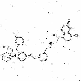 O=C(O)N(C(c1cccc(F)c1)c1cccc(OCc2cccc(CCNC[C@H](O)c3ccc(O)c4[nH]c(=O)ccc34)c2)c1)[C@H]1CN2CCC1CC2